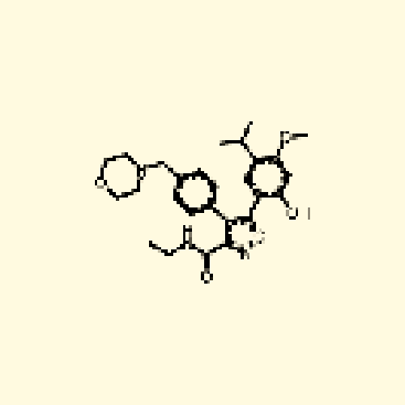 CCNC(=O)c1noc(-c2cc(C(C)C)c(OC)cc2O)c1-c1ccc(CN2CCOCC2)cc1